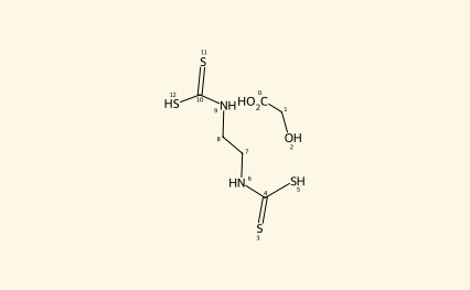 O=C(O)CO.S=C(S)NCCNC(=S)S